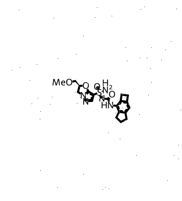 COC[C@@H]1Cn2ncc([S@@](N)(=O)=NC(=O)Nc3c4c(cc5c3CC5)CCC4)c2O1